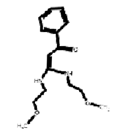 COCCNC(=CC(=O)c1ccccc1)NCCOC